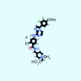 CCc1cc(Nc2nccn3c(-c4ccc(OC)c(F)c4F)cnc23)ccc1C(=O)NCC1CC[N+](C)(CC(=O)O)CC1.[I-]